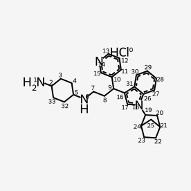 Cl.NC1CCC(NCCC(c2cccnc2)c2cn(C3CC4CCC3C4)c3ccccc23)CC1